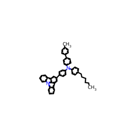 CCCCCCc1ccc(N(c2ccc(-c3ccc(C)cc3)cc2)c2ccc(-c3cc4c5ccccc5n5c6ccccc6c(c3)c45)cc2)cc1